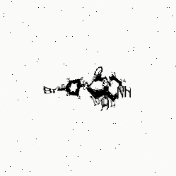 O=C1N(c2ccc(Br)cc2)C[C@@H]2CNCCN12